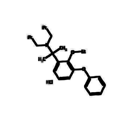 CCOc1c(Oc2ccccc2)cccc1C(C)(C)N(CC(C)C)CC(C)C.Cl